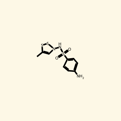 CC1=CN(NS(=O)(=O)c2ccc(N)cc2)SS1